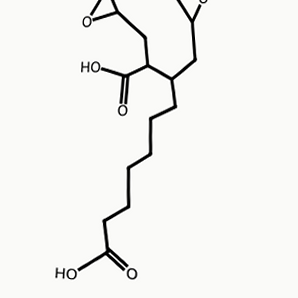 O=C(O)CCCCCCC(CC1CO1)C(CC1CO1)C(=O)O